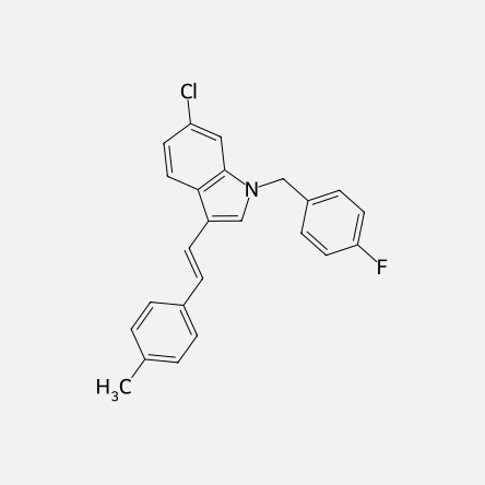 Cc1ccc(/C=C/c2cn(Cc3ccc(F)cc3)c3cc(Cl)ccc23)cc1